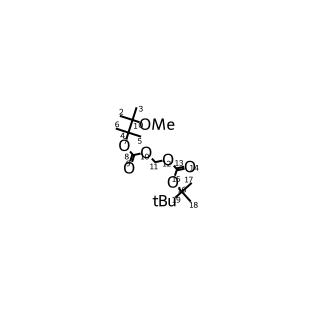 COC(C)(C)C(C)(C)OC(=O)OCOC(=O)OC(C)(C)C(C)(C)C